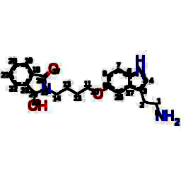 NCCc1c[nH]c2ccc(OCCCCN3C(=O)c4ccccc4C3O)cc12